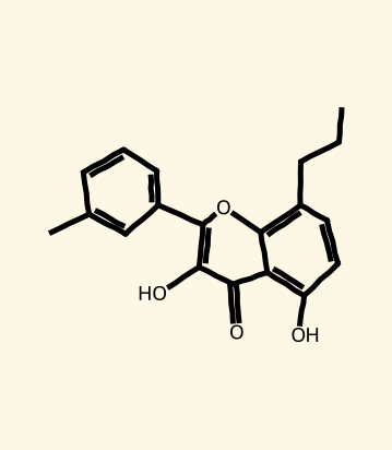 CCCc1ccc(O)c2c(=O)c(O)c(-c3cccc(C)c3)oc12